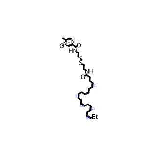 CC/C=C\C/C=C\C/C=C\C/C=C\C/C=C\C/C=C\CCC(=O)NCCSSCCNC(=O)c1c[n+]([O-])c(C)cn1